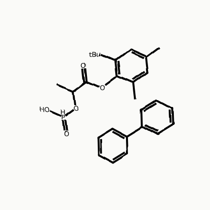 Cc1cc(C)c(OC(=O)C(C)O[PH](=O)O)c(C(C)(C)C)c1.c1ccc(-c2ccccc2)cc1